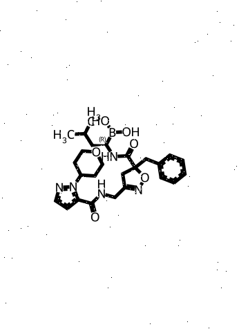 CC(C)C[C@H](NC(=O)C1(Cc2ccccc2)CC(CNC(=O)c2ccnn2C2CCOCC2)=NO1)B(O)O